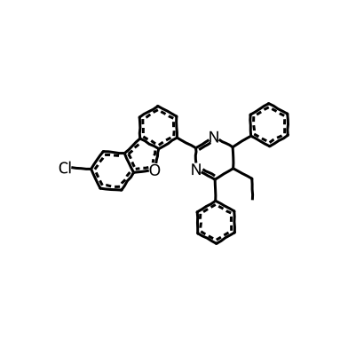 CCC1C(c2ccccc2)=NC(c2cccc3c2oc2ccc(Cl)cc23)=NC1c1ccccc1